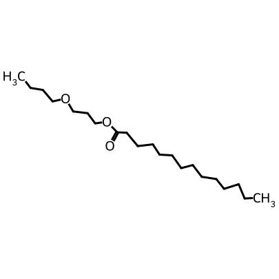 CCCCCCCCCCCCCC(=O)OCCCOCCCC